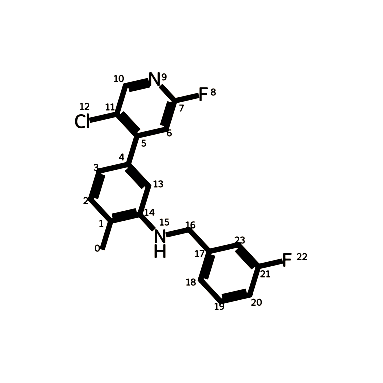 Cc1ccc(-c2cc(F)ncc2Cl)cc1NCc1cccc(F)c1